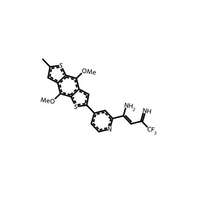 COc1c2cc(-c3ccnc(/C(N)=C/C(=N)C(F)(F)F)c3)sc2c(OC)c2cc(C)sc12